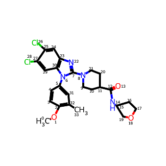 COc1ccc(-n2c(N3CCC(C(=O)NC4CCOC4)CC3)nc3cc(Cl)c(Cl)cc32)cc1C